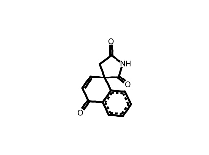 O=C1CC2(C=CC(=O)c3ccccc32)C(=O)N1